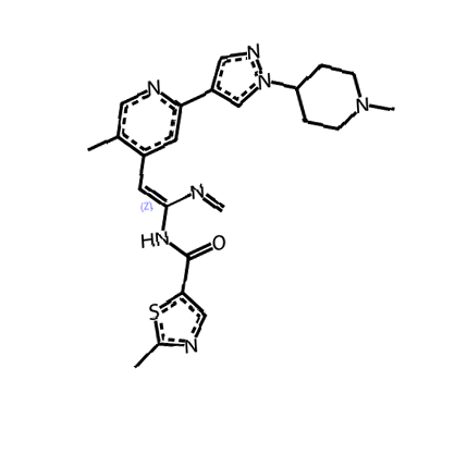 C=N/C(=C\c1cc(-c2cnn(C3CCN(C)CC3)c2)ncc1C)NC(=O)c1cnc(C)s1